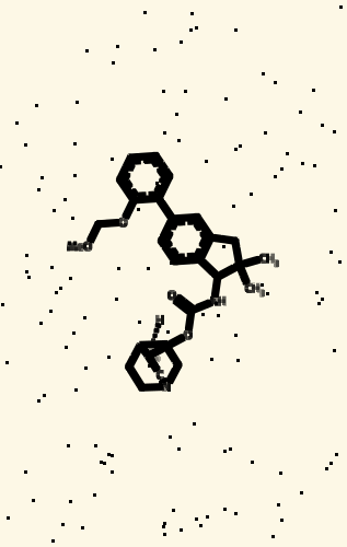 COCOc1ccccc1-c1ccc2c(c1)CC(C)(C)C2NC(=O)O[C@H]1CN2CCC1CC2